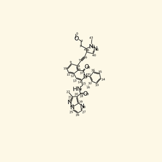 COCCc1c(C#Cc2cccc3cc([C@H](C)NC(=O)c4c(C)nn5cccnc45)n(-c4ccccc4)c(=O)c23)cnn1C